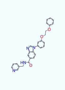 O=C(NCc1cccnc1)c1ccc2c(c1)ncn2-c1cccc(OCCOc2ccccc2)c1